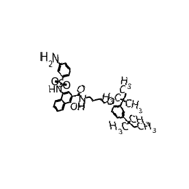 CCC(C)(C)c1ccc(OCCCCNC(=O)c2cc(NS(=O)(=O)c3cccc(N)c3)c3ccccc3c2O)c(C(C)(C)CC)c1